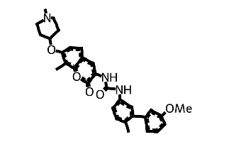 COc1cccc(-c2cc(NC(=O)Nc3cc4ccc(OC5CCN(C)CC5)c(C)c4oc3=O)ccc2C)c1